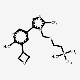 Cc1ncc(-c2nnc(C(F)(F)F)n2COCC[Si](C)(C)C)cc1C1COC1